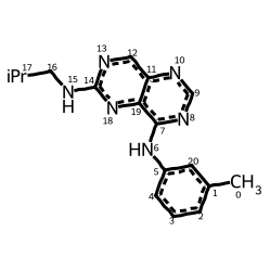 Cc1cccc(Nc2ncnc3cnc(NCC(C)C)nc23)c1